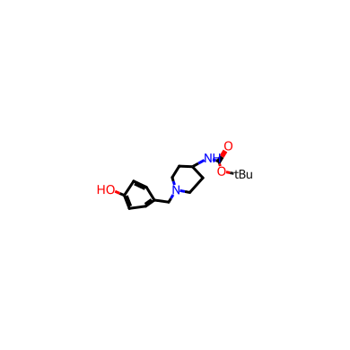 CC(C)(C)OC(=O)NC1CCN(Cc2ccc(O)cc2)CC1